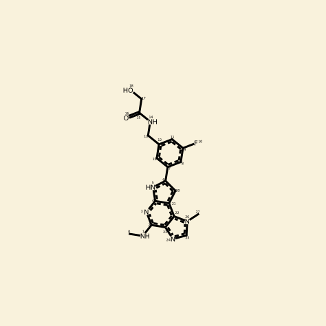 CNc1nc2[nH]c(-c3cc(F)cc(CNC(=O)CO)c3)cc2c2c1ncn2C